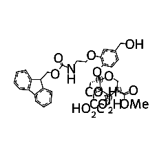 COC(=O)[C@@H]1CO[C@](CC(=O)O)(Oc2ccc(CO)cc2OCCNC(=O)OCC2c3ccccc3-c3ccccc32)[C@@H](CC(=O)O)[C@@H]1CC(=O)O